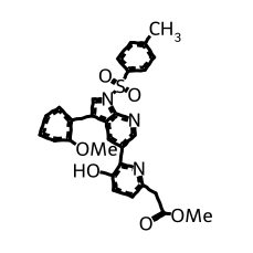 COC(=O)Cc1ccc(O)c(-c2cnc3c(c2)c(-c2ccccc2OC)cn3S(=O)(=O)c2ccc(C)cc2)n1